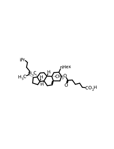 CCCCCCC1C[C@@]2(C)C(=CC[C@H]3[C@@H]4CC[C@H](C(C)CCCC(C)C)[C@@]4(C)CC[C@@H]32)C[C@H]1OC(=O)CCCCC(=O)O